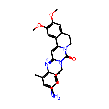 COc1cc2c(cc1OC)-c1c/c(=N/c3c(C)cc(C)cc3C)n(CCCCN)c(=O)n1CC2